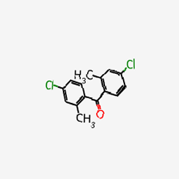 Cc1cc(Cl)ccc1C(=O)c1ccc(Cl)cc1C